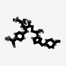 CCC(CCC(C)n1cc(CN2CCN(C(C)C)CC2)cn1)/C(=C\N(C)N)CN1CCN(S(C)=S)CC1